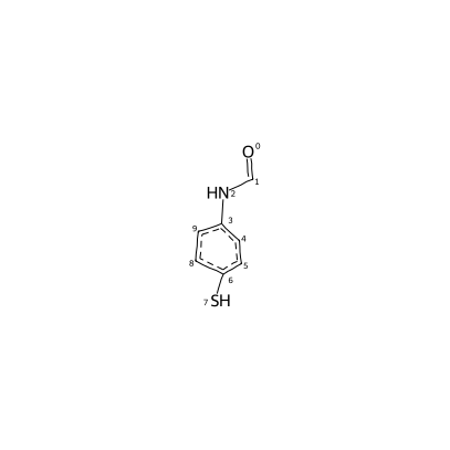 O=CNc1ccc(S)cc1